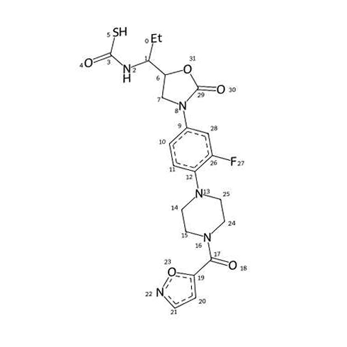 CCC(NC(=O)S)C1CN(c2ccc(N3CCN(C(=O)c4ccno4)CC3)c(F)c2)C(=O)O1